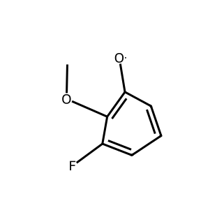 COc1c([O])cccc1F